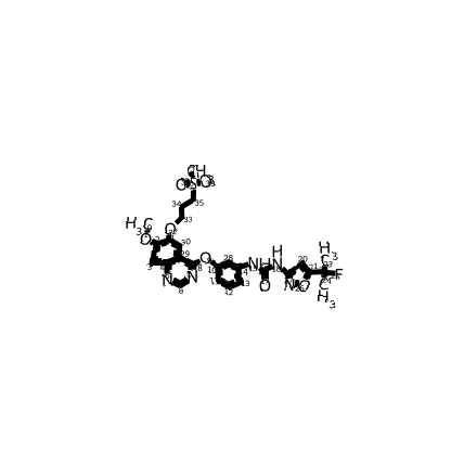 COc1cc2ncnc(Oc3cccc(NC(=O)Nc4cc(C(C)(C)F)on4)c3)c2cc1OCCCS(C)(=O)=O